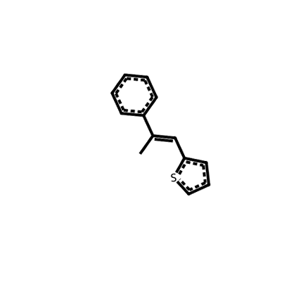 CC(=Cc1cccs1)c1ccccc1